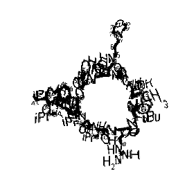 CC[C@H](C)[C@@H]1NC(=O)[C@@H](CCCNC(=N)N)NC(=O)[C@H](CC(C)C)NC(=O)[C@H]([C@H](O)C(C)C)NC(=O)[C@@H](NC(=O)[C@H](CC(C)C)NC(=O)[C@H](N)CC(C)C)[C@@H](c2ccccc2)OC(=O)[C@H](CO)NC(=O)[C@H]([C@H](O)C(=O)NCCCN2CCOCC2)NC(=O)CNC(=O)[C@H]([C@H](C)O)NC1=O